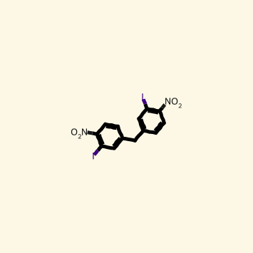 O=[N+]([O-])c1ccc(Cc2ccc([N+](=O)[O-])c(I)c2)cc1I